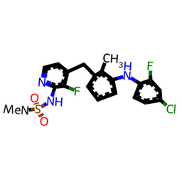 CNS(=O)(=O)Nc1nccc(Cc2cccc(Nc3ccc(Cl)cc3F)c2C)c1F